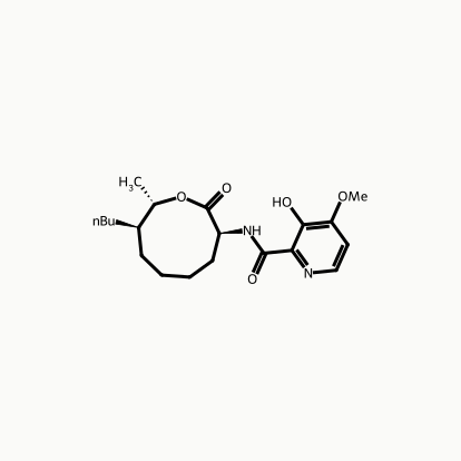 CCCC[C@@H]1CCCC[C@H](NC(=O)c2nccc(OC)c2O)C(=O)O[C@H]1C